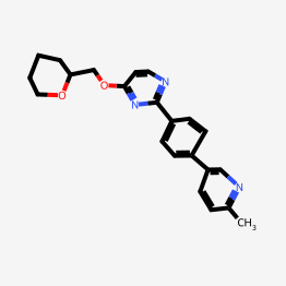 Cc1ccc(-c2ccc(-c3nccc(OCC4CCCCO4)n3)cc2)cn1